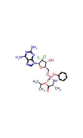 CC(C)OC(=O)[C@@H](C)N[P@](=S)(OC[C@H]1O[C@@H](n2cnc3c(N)nc(N)nc32)[C@@](F)(Cl)[C@@H]1O)Oc1ccccc1